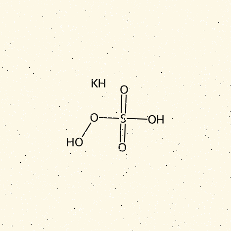 O=S(=O)(O)OO.[KH]